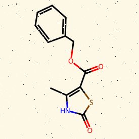 Cc1[nH]c(=O)sc1C(=O)OCc1ccccc1